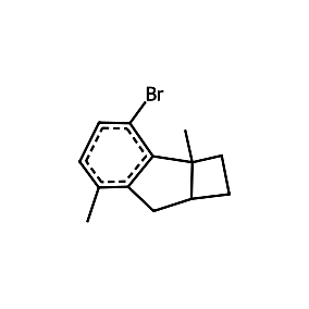 Cc1ccc(Br)c2c1CC1CCC21C